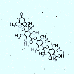 CC1=CC(=O)C=C(C)C1(O)C(=O)Oc1c(C)c(C)c(C(=O)Oc2cc(C)c(C(=O)Oc3c(C)c(C)c(C(=O)O)c(C)c3C)c(C)c2C)c(O)c1Br